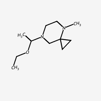 CCOC(C)N1CCN(C)C2(CC2)C1